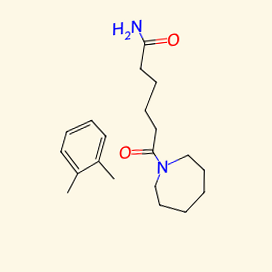 Cc1ccccc1C.NC(=O)CCCCC(=O)N1CCCCCC1